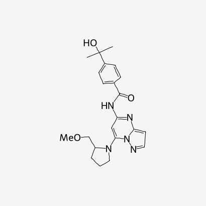 COCC1CCCN1c1cc(NC(=O)c2ccc(C(C)(C)O)cc2)nc2ccnn12